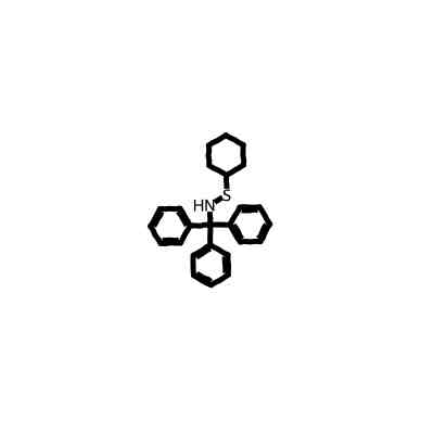 c1ccc(C(NSC2CCCCC2)(c2ccccc2)c2ccccc2)cc1